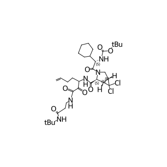 C=CCCC(NC(=O)[C@@H]1[C@@H]2[C@H](CN1C(=O)[C@@H](NC(=O)OC(C)(C)C)C1CCCCC1)C2(Cl)Cl)C(=O)C(=O)NCCC(=O)NC(C)(C)C